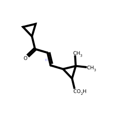 CC1(C)C(/C=C/C(=O)C2CC2)C1C(=O)O